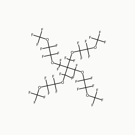 FC(F)(F)OC(F)(F)C(F)(F)OC(F)(F)C(C(F)(F)OC(F)(F)C(F)(F)OC(F)(F)F)(C(F)(F)OC(F)(F)C(F)(F)OC(F)(F)F)C(F)(F)OC(F)(F)C(F)(F)OC(F)(F)F